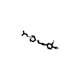 CC(C)CC[Si@H]1CC[C@H](/C=C/C#Cc2ccc(C#N)c(F)c2)CC1